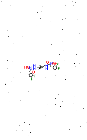 O=C(NCC[Se][Se]CCNC(=O)/C(Cc1ccc(F)c(F)c1)=N/O)/C(Cc1ccc(F)c(F)c1)=N/O